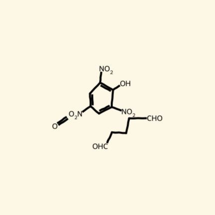 C=O.O=CCCCC=O.O=[N+]([O-])c1cc([N+](=O)[O-])c(O)c([N+](=O)[O-])c1